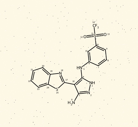 Nc1n[nH]c(Nc2cccc(S(=O)(=O)C(F)(F)F)c2)c1-c1nc2ccccc2s1